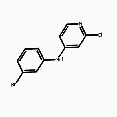 Clc1cc(Nc2cccc(Br)c2)ccn1